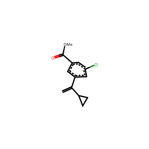 C=C(c1cc(Cl)cc(C(=O)OC)c1)C1CC1